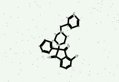 O=C1c2cccc(Cl)c2C(=O)C1(c1ccccc1)N1CCN(Cc2cccnc2)CC1